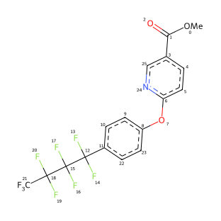 COC(=O)c1ccc(Oc2ccc(C(F)(F)C(F)(F)C(F)(F)C(F)(F)F)cc2)nc1